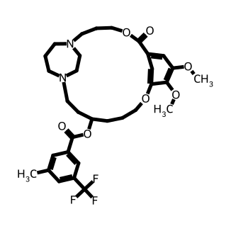 COc1cc2cc(c1OC)OCCCC(OC(=O)c1cc(C)cc(C(F)(F)F)c1)CCN1CCCN(CCCOC2=O)CC1